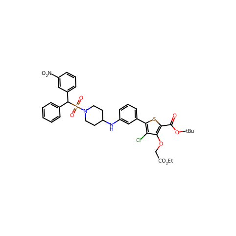 CCOC(=O)COc1c(C(=O)OC(C)(C)C)sc(-c2cccc(NC3CCN(S(=O)(=O)C(c4ccccc4)c4cccc([N+](=O)[O-])c4)CC3)c2)c1Cl